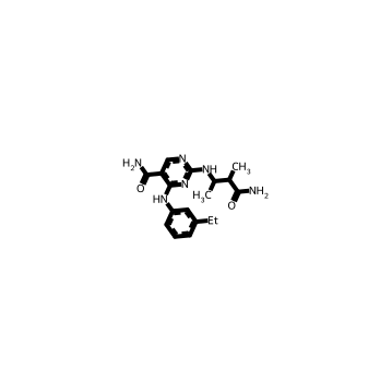 CCc1cccc(Nc2nc(NC(C)C(C)C(N)=O)ncc2C(N)=O)c1